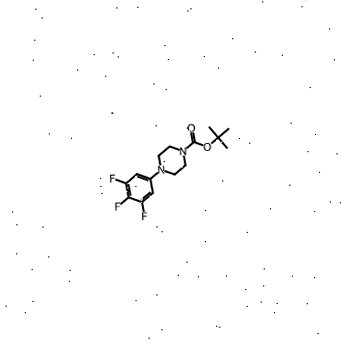 CC(C)(C)OC(=O)N1CCN(c2cc(F)c(F)c(F)c2)CC1